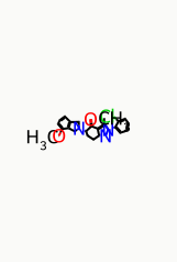 COc1cccc2c1CN(C1CCc3nn(-c4ccccc4Cl)c(C)c3C1=O)C2